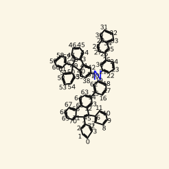 c1ccc(-c2c(-c3ccccc3)c3cc(-c4cccc(N(c5cccc(-c6ccc7ccccc7c6)c5)c5ccc6c(c5)-c5ccccc5C6(c5ccccc5)c5ccccc5)c4)ccc3c3ccccc23)cc1